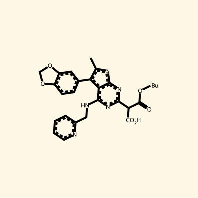 CCC(C)OC(=O)C(C(=O)O)c1nc(NCc2ccccn2)c2c(-c3ccc4c(c3)OCO4)c(C)sc2n1